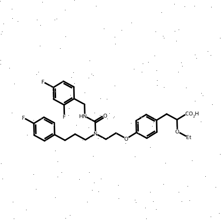 CCOC(Cc1ccc(OCCN(CCCc2ccc(F)cc2)C(=O)NCc2ccc(F)cc2F)cc1)C(=O)O